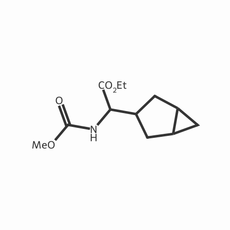 CCOC(=O)C(NC(=O)OC)C1CC2CC2C1